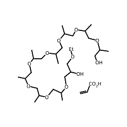 C=CC(=O)O.CCOCC(O)COC(C)COC(C)COC(C)COC(C)COC(C)COC(C)COC(C)COC(C)CO